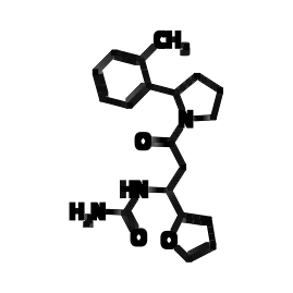 Cc1ccccc1C1CCCN1C(=O)CC(NC(N)=O)c1ccco1